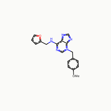 COc1ccc(Cn2cnc(NCc3ccco3)c3ncnc2-3)cc1